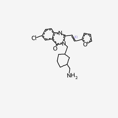 NCC1CCCC(Cn2c(/C=C/c3ccco3)nc3ccc(Cl)cc3c2=O)C1